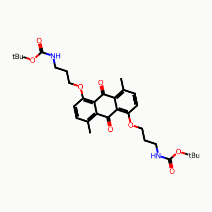 Cc1ccc(OCCCNC(=O)OC(C)(C)C)c2c1C(=O)c1c(OCCCNC(=O)OC(C)(C)C)ccc(C)c1C2=O